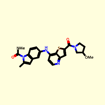 CNC(=O)n1c(C)cc2cc(Nc3ccnc4cc(C(=O)N5CCC(OC)C5)sc34)ccc21